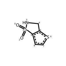 O=S1(=O)NCc2sccc21